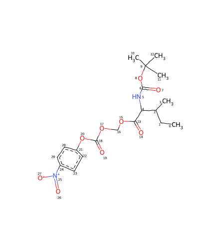 CCC(C)C(NC(=O)OC(C)(C)C)C(=O)OCOC(=O)Oc1ccc([N+](=O)[O-])cc1